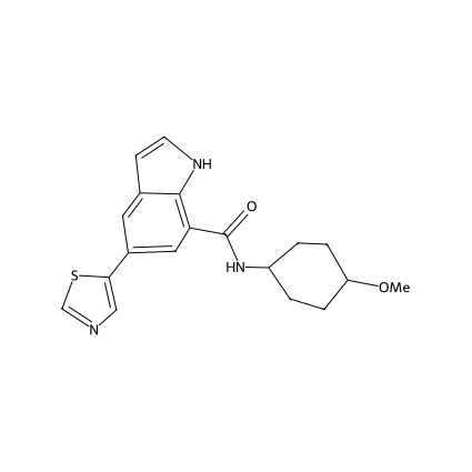 COC1CCC(NC(=O)c2cc(-c3cncs3)cc3cc[nH]c23)CC1